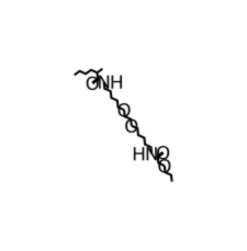 CCCCC(C)C(=O)NCCCCCOCCOCCCCCNC(=O)COCCC